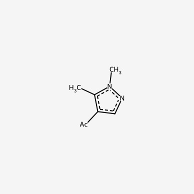 CC(=O)c1cnn(C)c1C